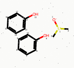 C[S+](C)[O-].Oc1ccccc1.Oc1ccccc1